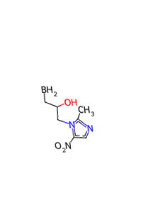 BCC(O)Cn1c([N+](=O)[O-])cnc1C